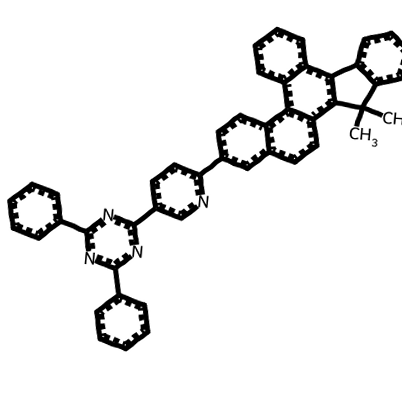 CC1(C)c2ccccc2-c2c1c1ccc3cc(-c4ccc(-c5nc(-c6ccccc6)nc(-c6ccccc6)n5)cn4)ccc3c1c1ccccc21